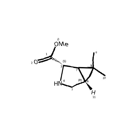 COC(=O)[C@H]1NC[C@@H]2C1C2(C)C